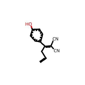 C=CCC(=C(C#N)C#N)c1ccc(O)cc1